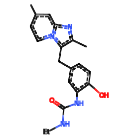 CCNC(=O)Nc1cc(Cc2c(C)nc3cc(C)ccn23)ccc1O